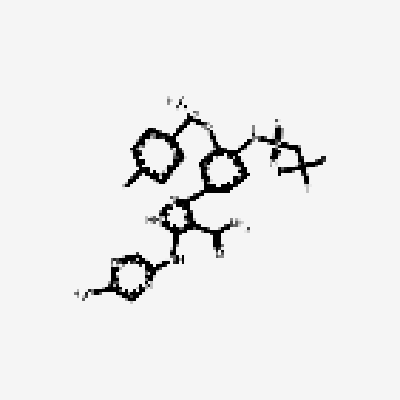 Cc1cnc(Nc2[nH]nc(-c3ccc(NS(=O)(=O)CC(F)(F)F)c(O[C@@H](C)c4ccc(F)cc4)c3)c2C(N)=O)cn1